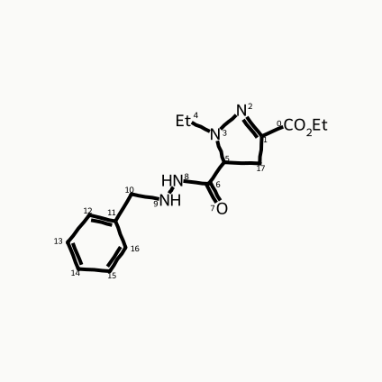 CCOC(=O)C1=NN(CC)C(C(=O)NNCc2ccccc2)C1